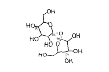 OCC1O[C@H](O[C@H]2OC(CO)[C@H](O)C(O)C2O)C(O)C(O)[C@@H]1O